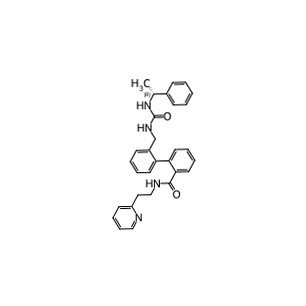 C[C@@H](NC(=O)NCc1ccccc1-c1ccccc1C(=O)NCCc1ccccn1)c1ccccc1